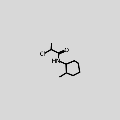 CC(Cl)C(=O)NC1CCCCC1C